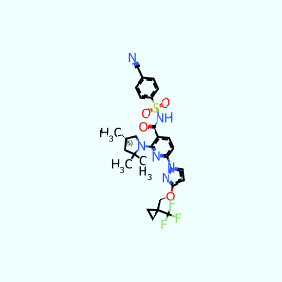 C[C@@H]1CN(c2nc(-n3ccc(OCC4(C(F)(F)F)CC4)n3)ccc2C(=O)NS(=O)(=O)c2ccc(C#N)cc2)C(C)(C)C1